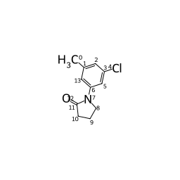 Cc1cc(Cl)cc(N2CCCC2=O)c1